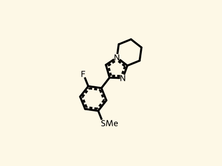 CSc1ccc(F)c(-c2cn3c(n2)CCCC3)c1